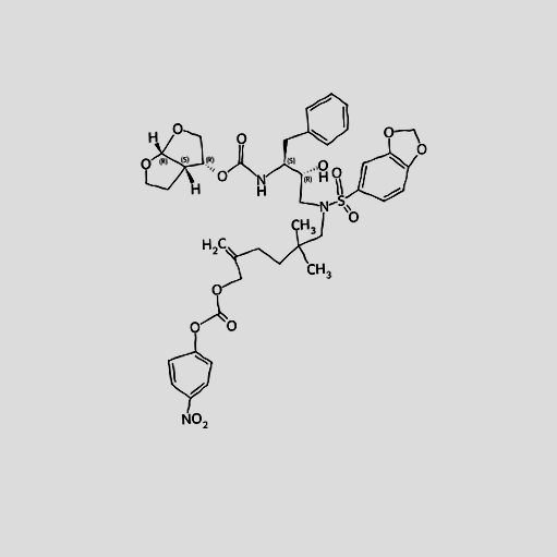 C=C(CCC(C)(C)CN(C[C@@H](O)[C@H](Cc1ccccc1)NC(=O)O[C@H]1CO[C@H]2OCC[C@H]21)S(=O)(=O)c1ccc2c(c1)OCO2)COC(=O)Oc1ccc([N+](=O)[O-])cc1